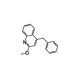 COc1cc(Cc2cc[c]cc2)c2ccccc2n1